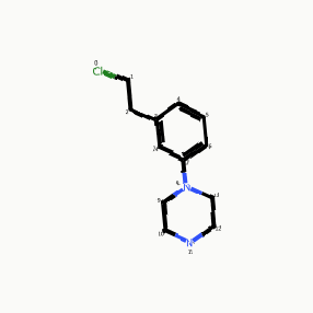 ClCCc1cccc(N2CC[N]CC2)c1